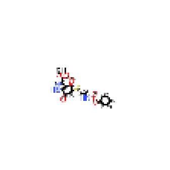 COC(=O)c1n[nH]c2c1C(=O)C(SCCNC(=O)Oc1ccccc1)=CC2=O